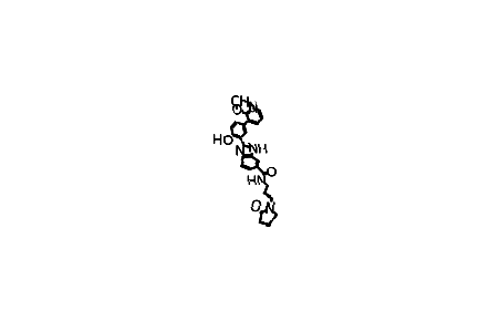 COc1ncccc1-c1ccc(O)c(-c2nc3ccc(C(=O)NCCCN4CCCC4=O)cc3[nH]2)c1